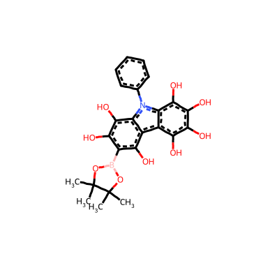 CC1(C)OB(c2c(O)c(O)c3c(c2O)c2c(O)c(O)c(O)c(O)c2n3-c2ccccc2)OC1(C)C